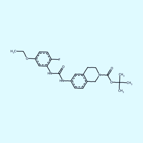 CCOc1ccc(F)c(NC(=O)Nc2ccc3c(c2)CCN(C(=O)OC(C)(C)C)C3)c1